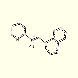 N#C/C(=C\c1ccnc2ccccc12)c1ccccn1